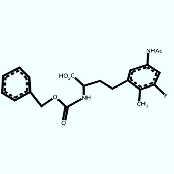 CC(=O)Nc1cc(F)c(C)c(CCC(NC(=O)OCc2ccccc2)C(=O)O)c1